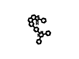 C1=CCC(C2Nc3c(ccc4ccc5ccc(-c6ccc(-c7nc(-c8ccccc8)cc(-c8ccccc8)n7)cc6)cc5c34)S2)C=C1